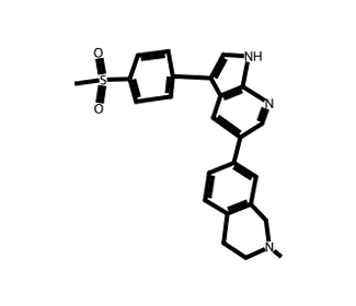 CN1CCc2ccc(-c3cnc4[nH]cc(-c5ccc(S(C)(=O)=O)cc5)c4c3)cc2C1